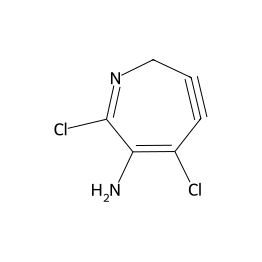 NC1=C(Cl)C#CCN=C1Cl